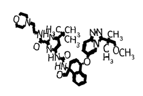 COCC(C)(C)c1nnc2ccc(O[C@@H]3C=C[C@](C=O)(NC(=O)Nc4cc(C(C)(C)C)nc(C(=O)NCCN5CCOCC5)n4)c4ccccc43)cn12